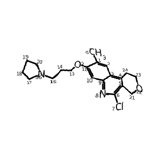 Cc1cc2c3c(c(Cl)nc2cc1OCCCN1CCCC1)COCC3